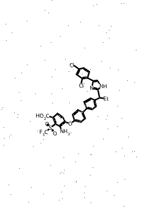 CCC(c1ccc(-c2ccc(Oc3ccc(C(=O)O)c(S(=O)(=O)C(F)(F)F)c3N)cc2)cc1)c1nc(-c2ccc(Cl)cc2Cl)c[nH]1